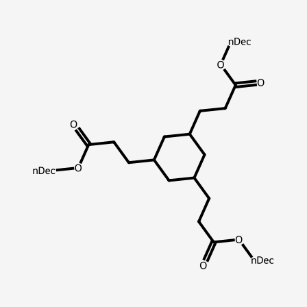 CCCCCCCCCCOC(=O)CCC1CC(CCC(=O)OCCCCCCCCCC)CC(CCC(=O)OCCCCCCCCCC)C1